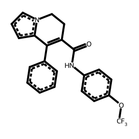 O=C(Nc1ccc(OC(F)(F)F)cc1)C1=C(c2ccccc2)c2cccn2CC1